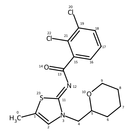 Cc1cn(CC2CCCCO2)c(=NC(=O)c2cccc(Cl)c2Cl)s1